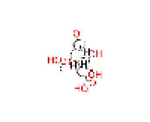 CCC(=O)O.C[C@]12CCC(=O)C=C1CC[C@@H]1[C@@H]2[C@@H](O)C[C@@]2(C)[C@H]1CC[C@]2(O)C(=O)CO